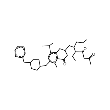 CCCC(CC1CC(=O)c2c(C)c(CC3CCC(Cc4ccccc4)CC3)cc(C(C)C)c2C1)C(CC)C(=O)CC(C)=O